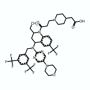 CCC1CC(N(Cc2cc(C(F)(F)F)cc(C(F)(F)F)c2)c2ncc(N3CCOCC3)cn2)c2cc(C(F)(F)F)ccc2N1C(=O)CCN1CCC(CC(=O)O)CC1